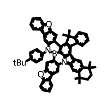 CC(C)(C)c1ccc(N2B3c4cc5oc6ccccc6c5cc4-n4c5cc6c(cc5c5c7c(c(c3c54)-c3cc4oc5ccccc5c4cc32)C(C)(C)c2ccccc2-7)C(C)(C)CCC6(C)C)cc1